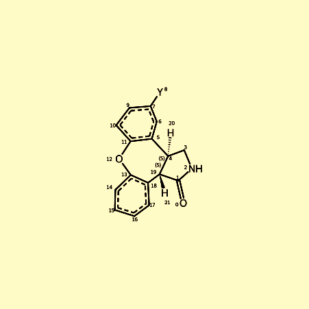 O=C1NC[C@@H]2c3c[c]([Y])ccc3Oc3ccccc3[C@@H]12